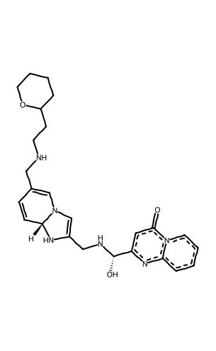 O=c1cc([C@H](O)NCC2=CN3C=C(CNCCC4CCCCO4)C=C[C@H]3N2)nc2ccccn12